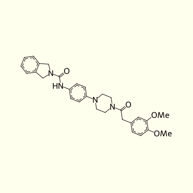 COc1ccc(CC(=O)N2CCN(c3ccc(NC(=O)N4Cc5ccccc5C4)cc3)CC2)cc1OC